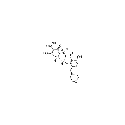 NC(=O)C1=C(O)C[C@@H]2C[C@@H]3Cc4c(CN5CCOCC5)ccc(O)c4C(=O)C3=C(O)[C@]2(O)C1=O